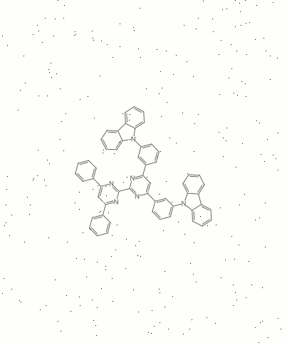 c1ccc(-c2cc(-c3ccccc3)nc(-c3nc(-c4cccc(-n5c6ccccc6c6ccccc65)c4)cc(-c4cccc(-n5c6ccccc6c6ccccc65)c4)n3)n2)cc1